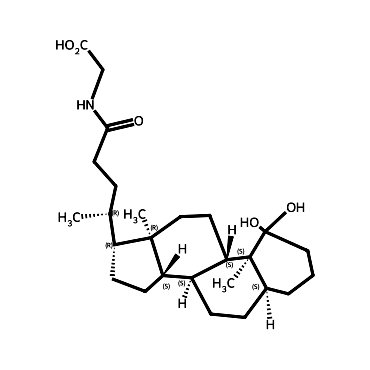 C[C@H](CCC(=O)NCC(=O)O)[C@H]1CC[C@H]2[C@@H]3CC[C@@H]4CCCC(O)(O)[C@]4(C)[C@H]3CC[C@]12C